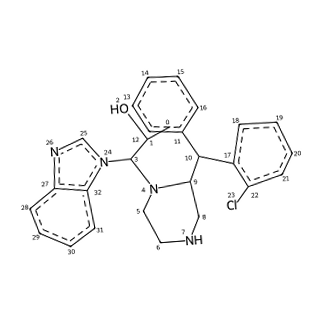 CC(O)C(N1CCNCC1C(c1ccccc1)c1ccccc1Cl)n1cnc2ccccc21